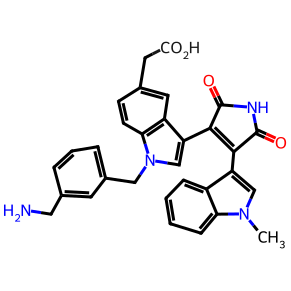 Cn1cc(C2=C(c3cn(Cc4cccc(CN)c4)c4ccc(CC(=O)O)cc34)C(=O)NC2=O)c2ccccc21